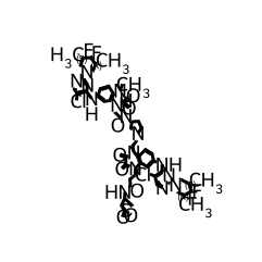 C[C@@H]1CN(c2ncc(Cl)c(Nc3ccc4c(c3)n(CC(=O)NC3CCN(CCn5c(=O)c(=O)n(CCC(=O)NC6CS(=O)(=O)C6)c6cc(Nc7nc(N8C[C@@H](C)C(F)(F)[C@@H](C)C8)ncc7Cl)ccc65)C3)c(=O)c(=O)n4C)n2)C[C@H](C)C1(F)F